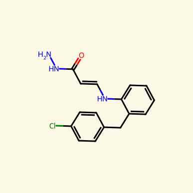 NNC(=O)C=CNc1ccccc1Cc1ccc(Cl)cc1